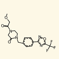 COCC(=O)N1CCN(Cc2ccc(-c3noc(C(F)(F)F)n3)cc2)C(=O)C1